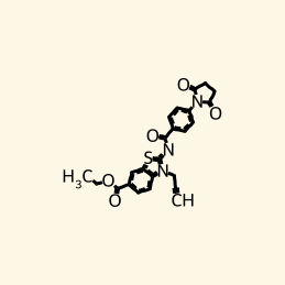 C#CCn1/c(=N/C(=O)c2ccc(N3C(=O)CCC3=O)cc2)sc2cc(C(=O)OCC)ccc21